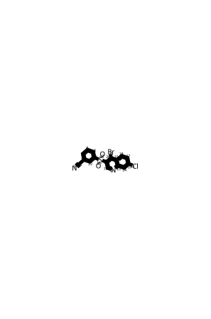 N#Cc1cccc(S(=O)(=O)c2cnc3cc(Cl)ccc3c2Br)c1